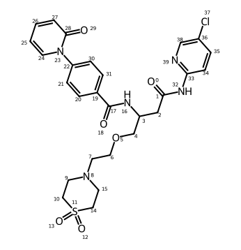 O=C(CC(COCCN1CCS(=O)(=O)CC1)NC(=O)c1ccc(-n2ccccc2=O)cc1)Nc1ccc(Cl)cn1